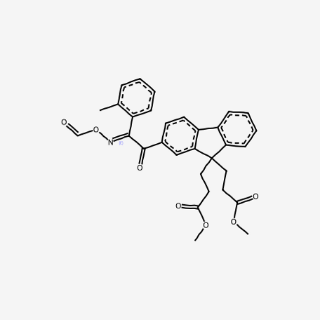 COC(=O)CCC1(CCC(=O)OC)c2ccccc2-c2ccc(C(=O)/C(=N/OC=O)c3ccccc3C)cc21